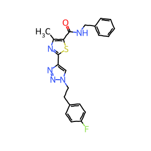 Cc1nc(-c2cn(CCc3ccc(F)cc3)nn2)sc1C(=O)NCc1ccccc1